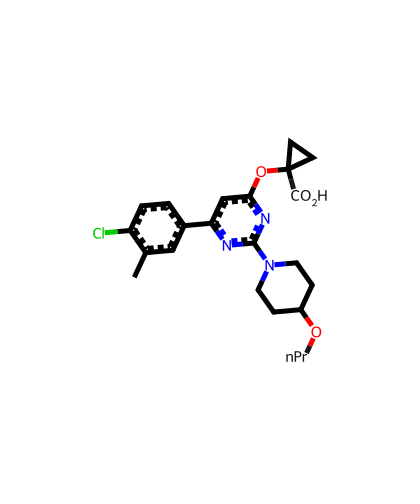 CCCOC1CCN(c2nc(OC3(C(=O)O)CC3)cc(-c3ccc(Cl)c(C)c3)n2)CC1